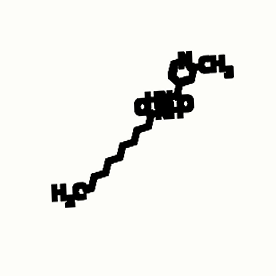 C=CCCCCCCCCC(=O)NNC(=O)c1ccnc(C)c1